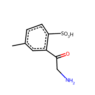 Cc1ccc(S(=O)(=O)O)c(C(=O)CN)c1